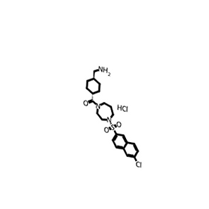 Cl.NC[C@H]1CC[C@H](C(=O)N2CCCN(S(=O)(=O)c3ccc4cc(Cl)ccc4c3)CC2)CC1